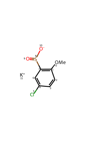 COc1ccc(Cl)cc1S(=O)[O-].[K+]